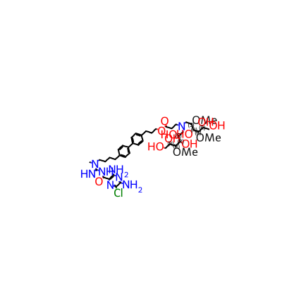 CO[C@@H]([C@H](O)[C@H](CN(CCC(=O)OCCCc1ccc(-c2ccc(CCCCN(C)C(=N)NC(=O)c3nc(Cl)c(N)nc3N)cc2)cc1)C[C@H](O)[C@@H](O)[C@H](OC)[C@H](O)CO)OC)[C@H](O)CO